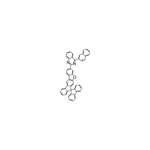 c1ccc2c(c1)-c1ccccc1C21c2ccccc2-c2cc3c(cc21)oc1cc(-c2nc(-c4ccc5ccccc5c4)c4ccccc4n2)ccc13